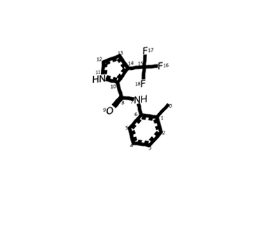 Cc1ccccc1NC(=O)c1[nH]ccc1C(F)(F)F